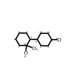 ClC1CCC([C]2CCCCC2(Cl)Cl)CC1